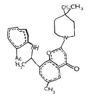 CC(=O)c1ccccc1NC(C)c1cc(C)cc2c(=O)cc(N3CCC(C)(C)CC3)oc12